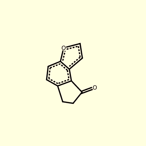 O=C1CCc2ccc3occc3c21